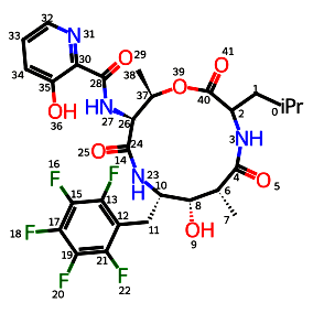 CC(C)CC1NC(=O)[C@H](C)[C@H](O)[C@H](Cc2c(F)c(F)c(F)c(F)c2F)NC(=O)[C@@H](NC(=O)c2ncccc2O)[C@@H](C)OC1=O